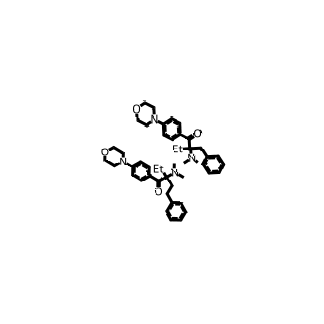 CCC(CCc1ccccc1)(C(=O)c1ccc(N2CCOCC2)cc1)N(C)C.CCC(Cc1ccccc1)(C(=O)c1ccc(N2CCOCC2)cc1)N(C)C